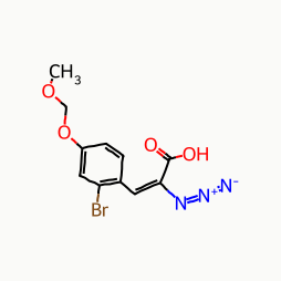 COCOc1ccc(/C=C(/N=[N+]=[N-])C(=O)O)c(Br)c1